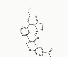 CCCOC(c1cccc(N2COc3ccc(C(C)=O)cc3C2=O)c1)N1C(=O)CSC1=O